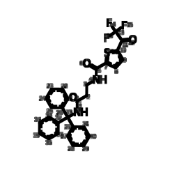 O=C(CCNC(=O)c1ccc(C(=O)C(F)(F)F)s1)NC(c1ccccc1)(c1ccccc1)c1ccccc1